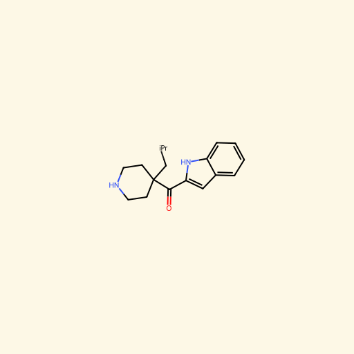 CC(C)CC1(C(=O)c2cc3ccccc3[nH]2)CCNCC1